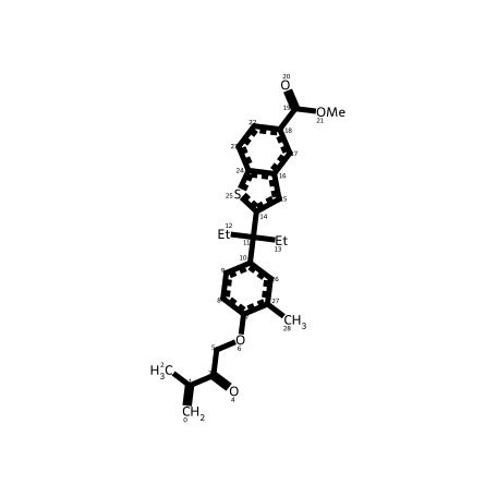 C=C(C)C(=O)COc1ccc(C(CC)(CC)c2cc3cc(C(=O)OC)ccc3s2)cc1C